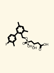 Cc1cc(C)c(COP(=O)(O)C[C@@H](O)CC(=O)O)c(-c2ccc(F)c(C)c2)c1